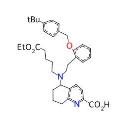 CCOC(=O)CCCCN(CCc1ccccc1OCc1ccc(C(C)(C)C)cc1)C1CCCc2nc(C(=O)O)ccc21